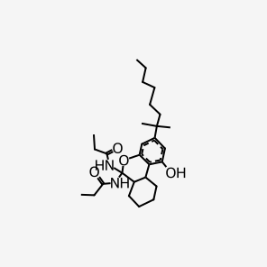 CCCCCCC(C)(C)c1cc(O)c2c(c1)OC(NC(=O)CC)(NC(=O)CC)C1CCCCC21